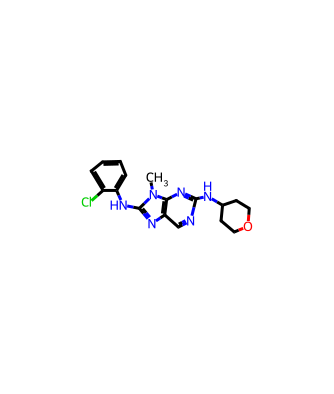 Cn1c(Nc2ccccc2Cl)nc2cnc(NC3CCOCC3)nc21